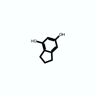 Oc1cc(O)c2c(c1)CCC2